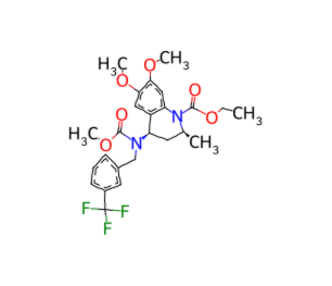 CCOC(=O)N1c2cc(OC)c(OC)cc2[C@H](N(Cc2cccc(C(F)(F)F)c2)C(=O)OC)C[C@@H]1C